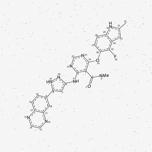 CNC(=O)c1c(Nc2cc(-c3ccc4nccnc4c3)[nH]n2)ncnc1Oc1ccc2[nH]c(C)cc2c1F